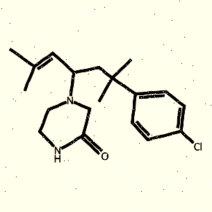 CC(C)=CC(CC(C)(C)c1ccc(Cl)cc1)N1CCNC(=O)C1